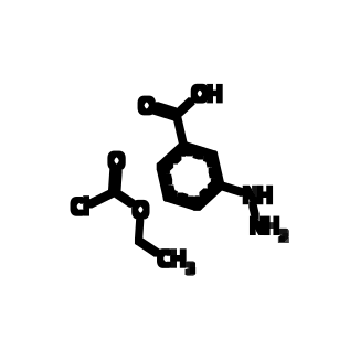 CCOC(=O)Cl.NNc1cccc(C(=O)O)c1